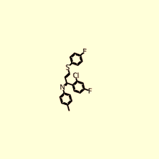 Cc1ccc(N=C(C=CSc2ccc(F)cc2)c2ccc(F)cc2Cl)cc1